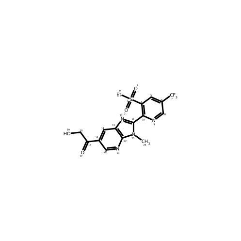 CCS(=O)(=O)c1cc(C(F)(F)F)cnc1-c1nc2cc(C(=O)CO)cnc2n1C